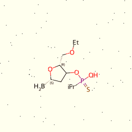 B[C@H]1CC(OP(O)(=S)C(C)C)[C@@H](COCC)O1